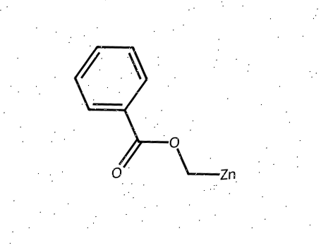 O=C(O[CH2][Zn])c1ccccc1